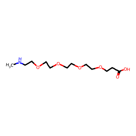 CNCCOCCOCCOCCOCCC(=O)O